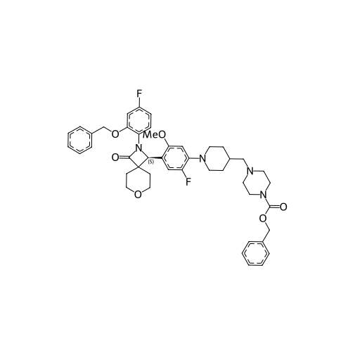 COc1cc(N2CCC(CN3CCN(C(=O)OCc4ccccc4)CC3)CC2)c(F)cc1[C@@H]1N(c2ccc(F)cc2OCc2ccccc2)C(=O)C12CCOCC2